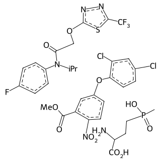 CC(C)N(C(=O)COc1nnc(C(F)(F)F)s1)c1ccc(F)cc1.COC(=O)c1cc(Oc2ccc(Cl)cc2Cl)ccc1[N+](=O)[O-].CP(=O)(O)CCC(N)C(=O)O